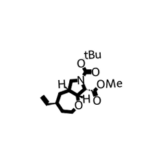 C=C[C@@H]1CCO[C@@H]2[C@@H](C1)CN(C(=O)OC(C)(C)C)[C@@H]2C(=O)OC